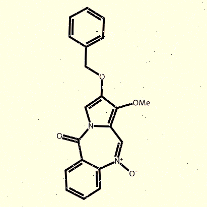 COc1c(OCc2ccccc2)cn2c(=O)c3ccccc3[n+]([O-])cc12